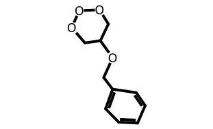 c1ccc(COC2COOOC2)cc1